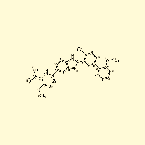 COC(=O)[C@@H](NC(=O)c1ccc2[nH]c(-c3cc(-c4cccnc4OC)ccc3O)nc2c1)[C@@H](C)O